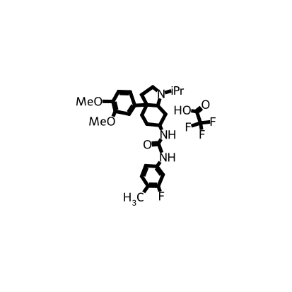 COc1ccc(C23CCC(NC(=O)Nc4ccc(C)c(F)c4)CC2N(C(C)C)CC3)cc1OC.O=C(O)C(F)(F)F